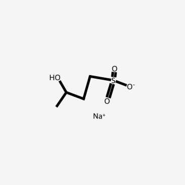 CC(O)CCS(=O)(=O)[O-].[Na+]